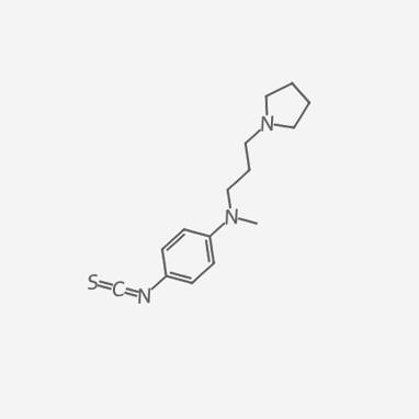 CN(CCCN1CCCC1)c1ccc(N=C=S)cc1